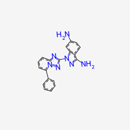 Nc1ccc2c(N)nn(-c3nc4cccc(-c5ccccc5)n4n3)c2c1